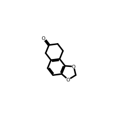 O=C1CCc2c(ccc3c2OCO3)C1